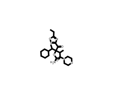 CCc1nc(C(=O)C(OC(N)=O)(C(C)C(=O)N2CCOCC2)C(C)C2CCCCC2)no1